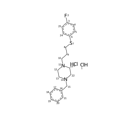 Cl.Cl.Fc1ccc(SCCCN2CCN(Cc3ccccc3)CC2)cc1